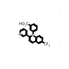 O=C(O)c1cccc(N2C(c3cccnc3)=C=Cc3cc(C(F)(F)F)ccc32)c1